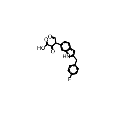 O=CC(C(=O)C(=O)O)c1ccc2cc(Cc3ccc(F)cc3)[nH]c2c1